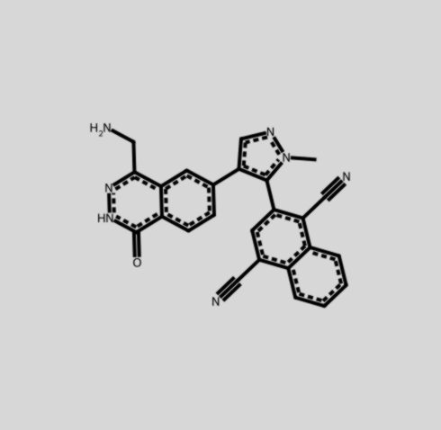 Cn1ncc(-c2ccc3c(=O)[nH]nc(CN)c3c2)c1-c1cc(C#N)c2ccccc2c1C#N